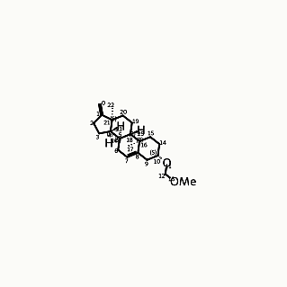 C=C1CC[C@H]2[C@@H]3CC=C4C[C@@H](OCOC)CC[C@]4(C)[C@H]3CC[C@]12C